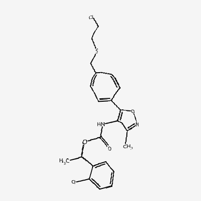 Cc1noc(-c2ccc(CSCCCl)cc2)c1NC(=O)OC(C)c1ccccc1Cl